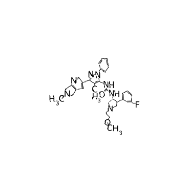 COCCN1CC(NC(=O)Nc2c(C)c(-c3cnc4c(c3)CN(C)C4)nn2-c2ccccc2)C(c2cccc(F)c2)C1